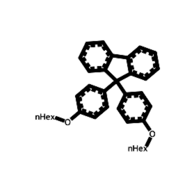 CCCCCCOc1ccc(C2(c3ccc(OCCCCCC)cc3)c3ccccc3-c3ccccc32)cc1